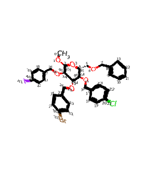 CO[C@H]1O[C@H](COCc2ccccc2)[C@@H](OCc2ccc(Cl)cc2)[C@H](OCc2ccc(Br)cc2)[C@H]1OCc1ccc(I)cc1